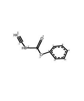 C#CBC(=O)Oc1ccccc1